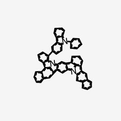 c1ccc(-n2c3ccccc3c3cc(-c4cccc5c6c7ccccc7cc7c8cc9c(cc8n(c45)c76)c4cccc5c6cc7ccccc7cc6n9c54)ccc32)cc1